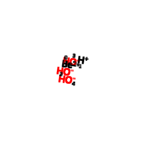 [Be+2].[H+].[OH-].[OH-].[OH-]